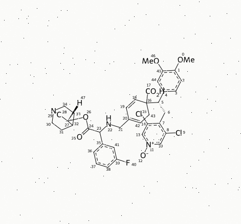 COc1ccc([C@H](Cc2c(Cl)c[n+]([O-])cc2Cl)C2(C(=O)O)C=CC(CNC(C(=O)O[C@H]3CN4CCC3CC4)c3cccc(F)c3)=CC2)cc1OC